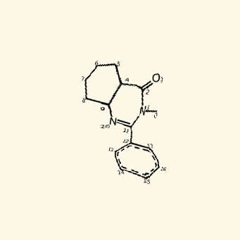 CN1C(=O)C2CCCCC2N=C1c1ccccc1